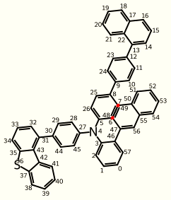 c1ccc(N(c2ccc(-c3ccc(-c4cccc5ccccc45)cc3)cc2)c2ccc(-c3cccc4sc5ccccc5c34)cc2)c(-c2ccc3ccccc3c2)c1